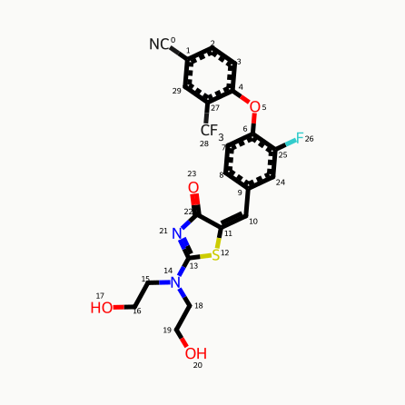 N#Cc1ccc(Oc2ccc(C=C3SC(N(CCO)CCO)=NC3=O)cc2F)c(C(F)(F)F)c1